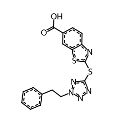 O=C(O)c1ccc2nc(Sc3nnn(CCc4ccccc4)n3)sc2c1